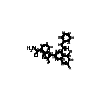 Cc1nc2c(C(N)=O)cccn2c1-c1nc2c(c(NCc3ccccc3)n1)C(C)CN(C)C2